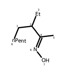 CCCCCCC(CC)C(C)=NO